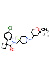 CC1(C)CC(CN2CCC(F)(CNC(=O)C3(c4ccc(Cl)cc4)CCC3)CC2)CCO1